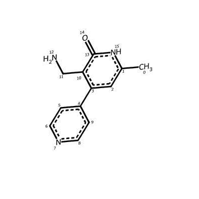 Cc1cc(-c2ccncc2)c(CN)c(=O)[nH]1